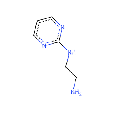 NCCNc1ncccn1